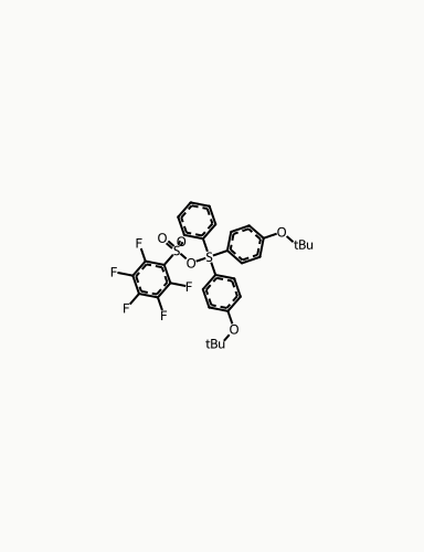 CC(C)(C)Oc1ccc(S(OS(=O)(=O)c2c(F)c(F)c(F)c(F)c2F)(c2ccccc2)c2ccc(OC(C)(C)C)cc2)cc1